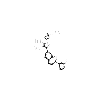 CC1(O)CC(n2nc(-c3ccc4ccc(-c5cccc(F)c5)nc4c3)c(C#N)c2N)C1